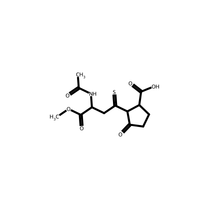 COC(=O)C(CC(=S)C1C(=O)CCC1C(=O)O)NC(C)=O